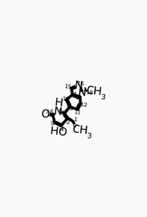 CCc1c(O)cc(=O)[nH]c1-c1ccc2c(cnn2C)c1